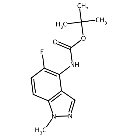 Cn1ncc2c(NC(=O)OC(C)(C)C)c(F)ccc21